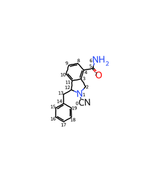 N#CN1Cc2c(C(N)=O)cccc2C1Cc1ccccc1